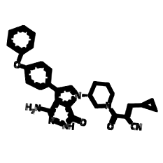 N#CC(=CC1CC1)C(=O)N1CCC[C@@H](n2cc(-c3ccc(Oc4ccccc4)cc3)c3c(N)n[nH]c(=O)c32)C1